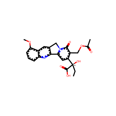 CC[C@](O)(C(=O)O)c1cc2n(c(=O)c1COC(C)=O)Cc1cc3c(OC)cccc3nc1-2